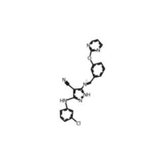 N#Cc1c(Nc2cccc(Cl)c2)n[nH]c1/N=C/c1cccc(Oc2ncccn2)c1